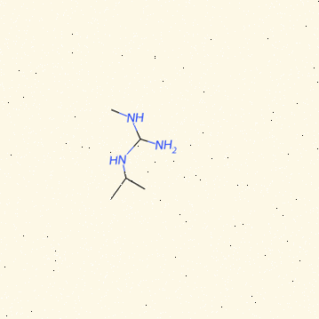 CNC(N)NC(C)C